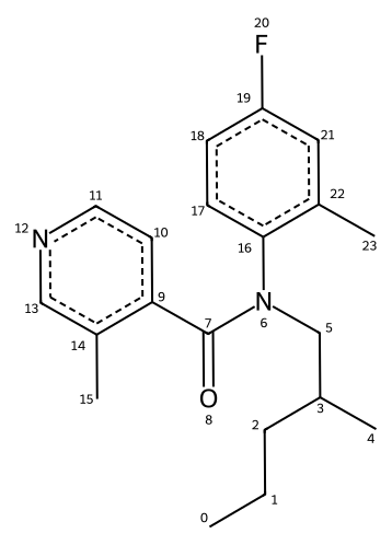 CCCC(C)CN(C(=O)c1ccncc1C)c1ccc(F)cc1C